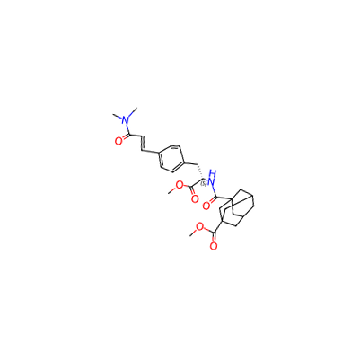 COC(=O)[C@H](Cc1ccc(C=CC(=O)N(C)C)cc1)NC(=O)C12CC3CC(C1)CC(C(=O)OC)(C3)C2